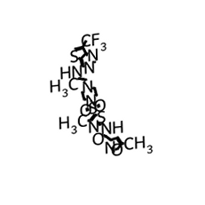 Cc1cc(C(=O)Nc2nc(C)c(S(=O)(=O)N3CCN(C[C@H](C)Nc4ncnc5c(C(F)(F)F)csc45)CC3)s2)no1